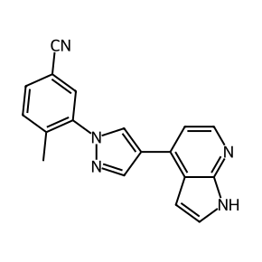 Cc1ccc(C#N)cc1-n1cc(-c2ccnc3[nH]ccc23)cn1